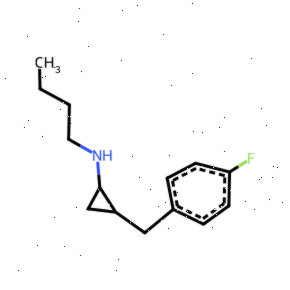 CCCCNC1CC1Cc1ccc(F)cc1